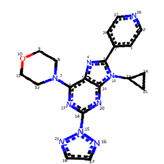 c1cc(-c2nc3c(N4CCOCC4)nc(-n4nccn4)nc3n2C2CC2)ccn1